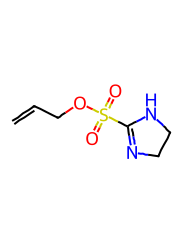 C=CCOS(=O)(=O)C1=NCCN1